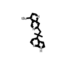 CC(C)(C)c1ccnc2cc(CC(C)(C)c3ccnc4[nH]ccc34)ncc12